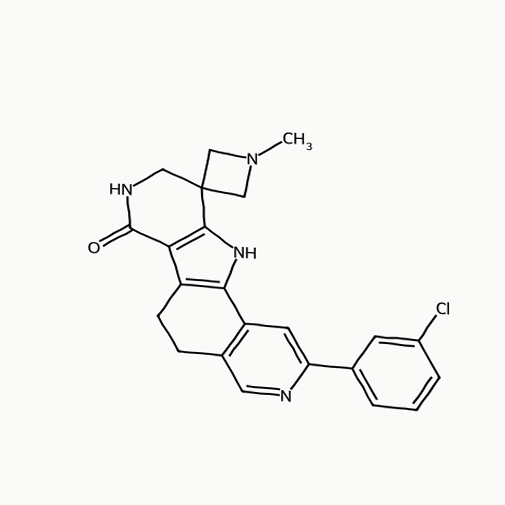 CN1CC2(CNC(=O)c3c2[nH]c2c3CCc3cnc(-c4cccc(Cl)c4)cc3-2)C1